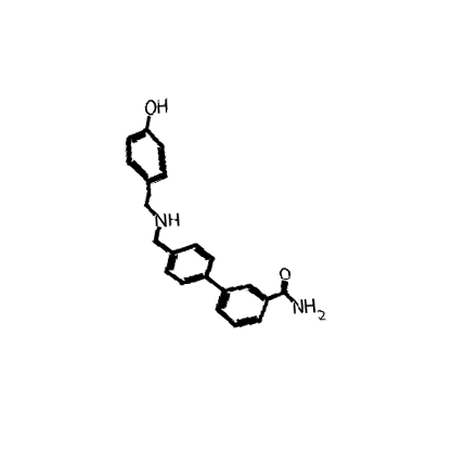 NC(=O)c1cccc(-c2ccc(CNCc3ccc(O)cc3)cc2)c1